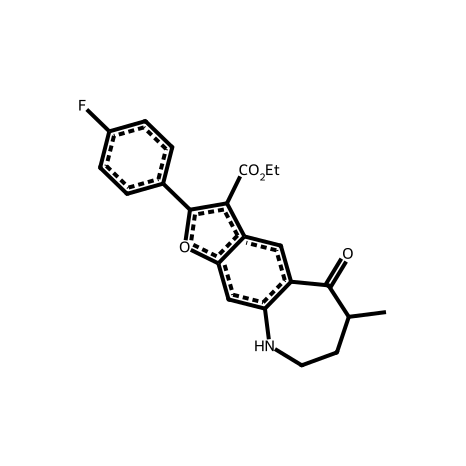 CCOC(=O)c1c(-c2ccc(F)cc2)oc2cc3c(cc12)C(=O)C(C)CCN3